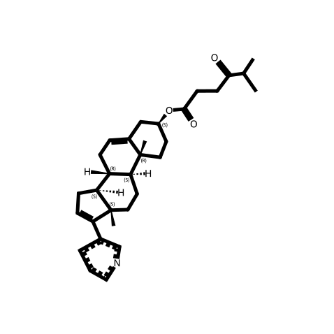 CC(C)C(=O)CCC(=O)O[C@H]1CC[C@@]2(C)C(=CC[C@@H]3[C@@H]2CC[C@]2(C)C(c4cccnc4)=CC[C@@H]32)C1